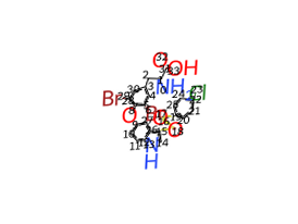 N[C@H](Cc1cc(Br)c(Oc2ccc3[nH]cc(S(=O)(=O)c4ccc(Cl)cc4)c3c2)c(Br)c1)C(=O)O